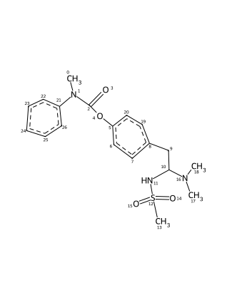 CN(C(=O)Oc1ccc(CC(NS(C)(=O)=O)N(C)C)cc1)c1ccccc1